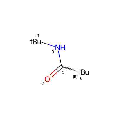 CC[C@@H](C)C(=O)NC(C)(C)C